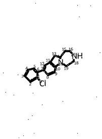 Clc1ccccc1-c1ccc2c(c1)CC1CCNCCN21